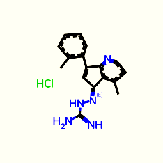 Cc1ccccc1C1=C/C(=N\NC(=N)N)c2c(C)ccnc21.Cl